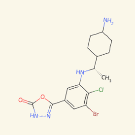 C[C@H](Nc1cc(-c2n[nH]c(=O)o2)cc(Br)c1Cl)C1CCC(N)CC1